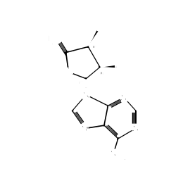 C=C1O[C@@H](n2cnc3c(N)ncnc32)[C@H](F)[C@@H]1O